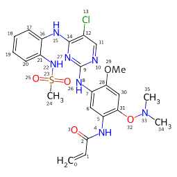 C=CC(=O)Nc1cc(Nc2ncc(Cl)c(Nc3ccccc3NS(C)(=O)=O)n2)c(OC)cc1ON(C)C